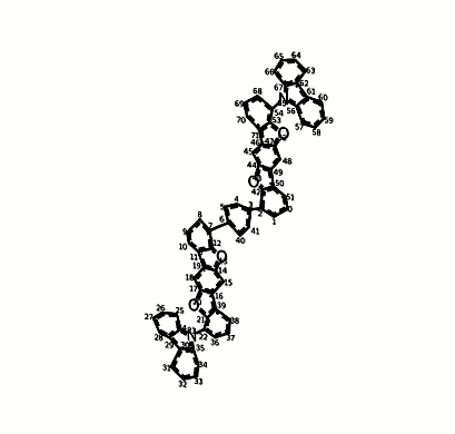 c1cc(-c2ccc(-c3cccc4c3oc3cc5c(cc34)oc3c(-n4c6ccccc6c6ccccc64)cccc35)cc2)c2oc3cc4c(cc3c2c1)oc1c(-n2c3ccccc3c3ccccc32)cccc14